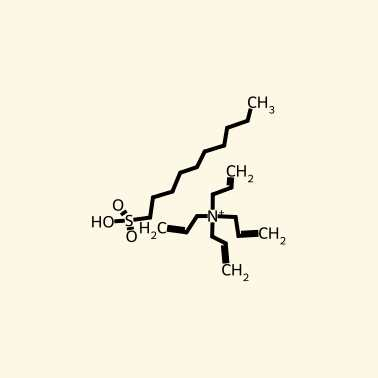 C=CC[N+](CC=C)(CC=C)CC=C.CCCCCCCCCCS(=O)(=O)O